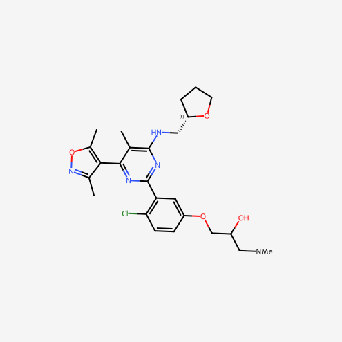 CNCC(O)COc1ccc(Cl)c(-c2nc(NC[C@@H]3CCCO3)c(C)c(-c3c(C)noc3C)n2)c1